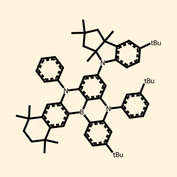 CC1(C)CC2(C)c3cc(C(C)(C)C)ccc3N(c3cc4c5c(c3)N(c3ccccc3)c3cc6c(cc3B5c3ccc(C(C)(C)C)cc3N4c3cccc(C(C)(C)C)c3)C(C)(C)CCC6(C)C)C2(C)C1